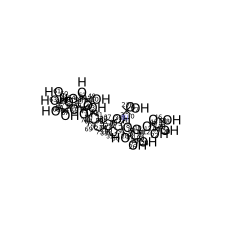 CC(C)(/C=C/CC(C)(O[C@@H]1O[C@H](CO[C@@H]2OC[C@@H](O)[C@H](O)[C@H]2O)[C@@H](O)[C@H](O)[C@H]1O)C1CC[C@]2(C)C1[C@H](O)CC1[C@@]3(C)C[C@@H](O)[C@H](O[C@@H]4O[C@H](CO)[C@@H](O)[C@H](O)[C@H]4O[C@@H]4O[C@H](CO)[C@@H](O)[C@H](O)[C@H]4O)C(C)(C)C3CC[C@]12C)OO